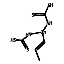 CC=[CH][Zn]([NH]C(=S)S)[NH]C(=S)S